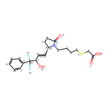 O=C(O)CSCCCCN1C(=O)CC[C@@H]1/C=C/C(O)C(F)(F)c1ccccc1